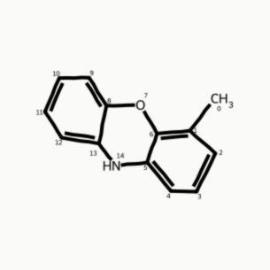 Cc1cccc2c1Oc1ccccc1N2